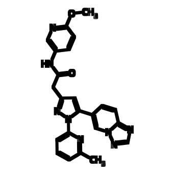 COc1ccc(NC(=O)Cc2cc(-c3ccc4ncnn4c3)n(-c3cccc(C)n3)n2)cn1